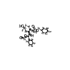 CC1(O)CC[C@H](NC(=O)OCc2ccccc2)[C@H](NC(OC=O)c2ccccc2)C1